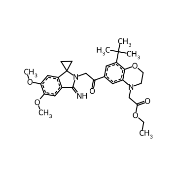 CCOC(=O)CN1CCOc2c1cc(C(=O)CN1C(=N)c3cc(OC)c(OC)cc3C13CC3)cc2C(C)(C)C